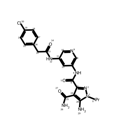 CC(C)n1nc(C(=O)Nc2cncc(NC(=O)Cc3ccc(Cl)cc3)c2)c(C(N)=O)c1N